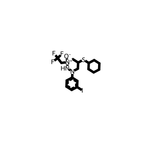 [O-][N+]1(CC(F)(F)F)CC(SC2CCCCC2)CN(c2cccc(I)c2)N1